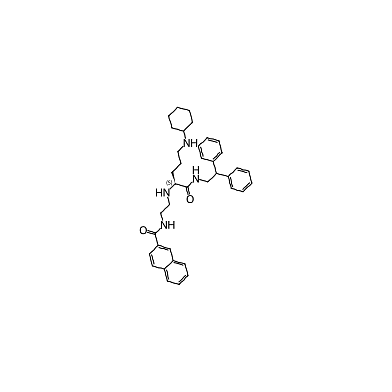 O=C(NCCN[C@@H](CCCNC1CCCCC1)C(=O)NCC(c1ccccc1)c1ccccc1)c1ccc2ccccc2c1